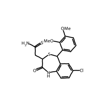 COc1cccc(C2SC(CC(N)=S)C(=O)Nc3ccc(Cl)cc32)c1OC